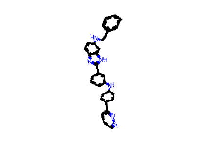 c1ccc(CNc2ccc3nc(-c4cccc(Nc5ccc(-c6cccnn6)cc5)c4)[nH]c3c2)cc1